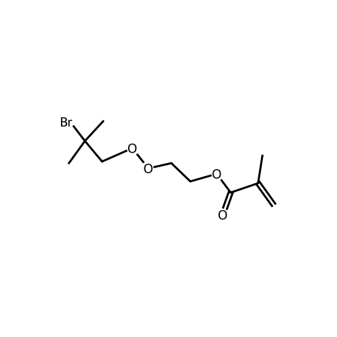 C=C(C)C(=O)OCCOOCC(C)(C)Br